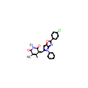 CCN1C(=O)C(C#N)=C(C)/C(=C/c2cc3oc(-c4ccc(Cl)cc4)nc3n2-c2ccccc2)C1=O